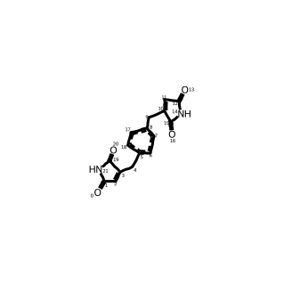 O=C1C=C(Cc2ccc(CC3=CC(=O)NC3=O)cc2)C(=O)N1